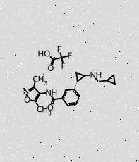 Cc1noc(C)c1NC(=O)c1cccc([C@@H]2C[C@H]2NCC2CC2)c1.O=C(O)C(F)(F)F